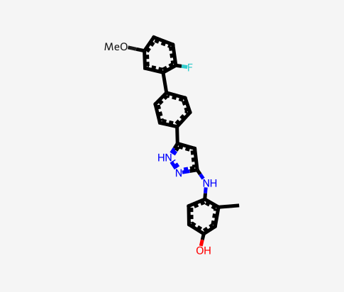 COc1ccc(F)c(-c2ccc(-c3cc(Nc4ccc(O)cc4C)n[nH]3)cc2)c1